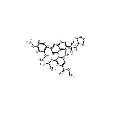 COC(=O)c1cc(Nc2c(S(=O)(=O)NC3CCOC3)cnc3cc(-c4cnc(OC)nc4OC)ccc23)cc(OC(C)C)c1